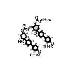 CCCCCCOC(=O)OC1CCC(O)(c2ccc(-c3ccc(OCCCCCC)cc3)cc2)CC1.CCCCCCOc1ccc(-c2ccc(C3(O)CCC(OC(=O)OCCCCC)CC3)cc2)cc1